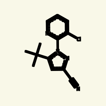 CC(C)(C)c1cc(C#N)nn1-c1ncccc1Cl